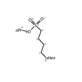 CCCCCCCCCCS(=O)(=O)OCCC